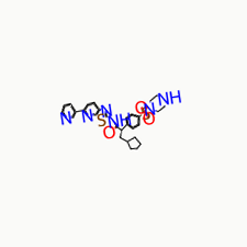 O=C(Nc1nc2ccc(-c3cccnc3)nc2s1)[C@H](CC1CCCC1)c1ccc(S(=O)(=O)N2CCNCC2)cc1